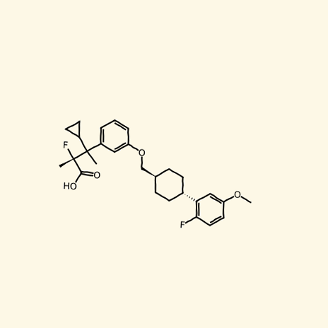 COc1ccc(F)c([C@H]2CC[C@H](COc3cccc(C(C)(C4CC4)[C@@](C)(F)C(=O)O)c3)CC2)c1